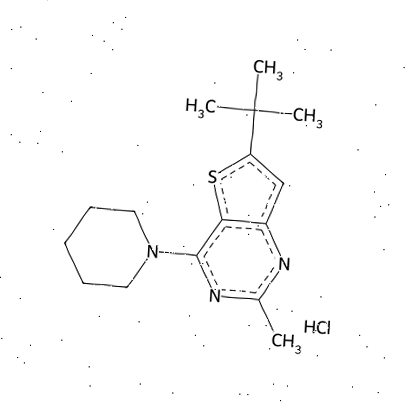 Cc1nc(N2CCCCC2)c2sc(C(C)(C)C)cc2n1.Cl